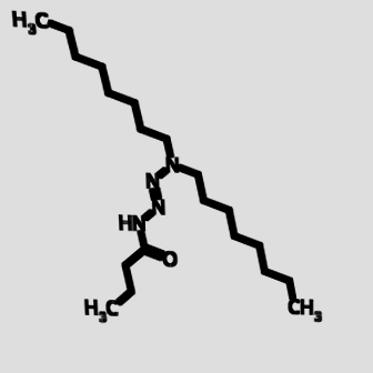 CCCCCCCCN(CCCCCCCC)N=NNC(=O)CCC